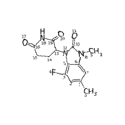 Cc1cc(F)c2c(c1)n(C)c(=O)n2C1CCC(=O)NC1=O